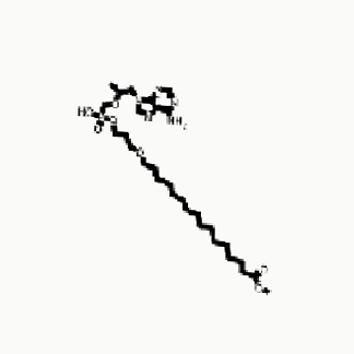 COC(=O)CCCCCCCCCCCCCCCOCCCOP(=O)(O)COC(C)Cn1cnc2c(N)ncnc21